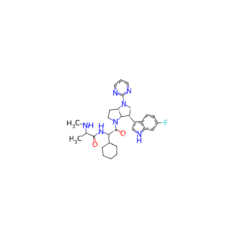 CNC(C)C(=O)NC(C(=O)N1CCC2C1C(c1c[nH]c3cc(F)ccc13)CN2c1ncccn1)C1CCCCC1